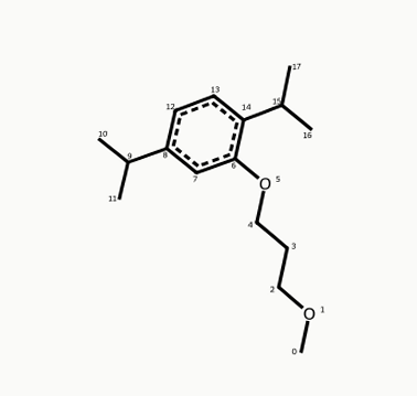 COCCCOc1cc(C(C)C)ccc1C(C)C